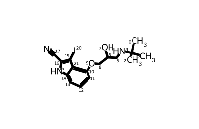 CC(C)(C)NCC(O)COc1cccc2[nH]c(C#N)c(I)c12